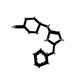 O=C1CCC(OC2=COC(Cc3ccccc3)O2)CC1